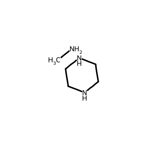 C1CNCCN1.CN